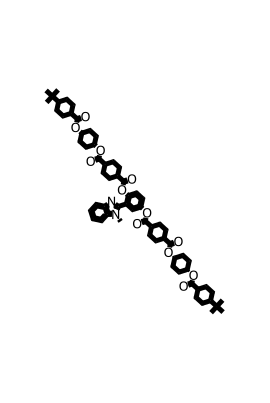 Cn1c(-c2cc(OC(=O)C3CCC(C(=O)O[C@H]4CC[C@H](OC(=O)C5CCC(C(C)(C)C)CC5)CC4)CC3)ccc2OC(=O)C2CCC(C(=O)OC3CCC(OC(=O)C4CCC(C(C)(C)C)CC4)CC3)CC2)nc2ccccc21